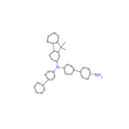 CC1(C)c2ccccc2-c2ccc(N(c3ccc(-c4ccccc4)cc3)c3ccc(-c4ccc(N)cc4)cc3)cc21